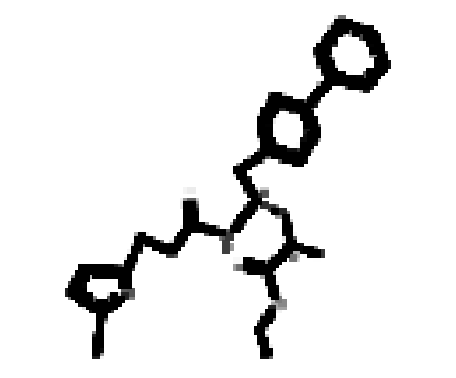 CCOC(=O)[C@H](C)C[C@@H](Cc1ccc(-c2ccccc2)cc1)NC(=O)CCc1ccc(C)o1